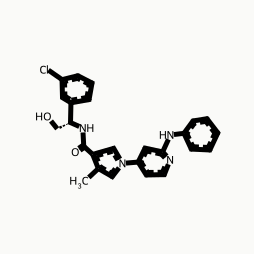 Cc1cn(-c2ccnc(Nc3ccccc3)c2)cc1C(=O)N[C@H](CO)c1cccc(Cl)c1